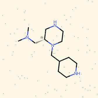 CN(C)C[C@@H]1CNCCN1CC1CCNCC1